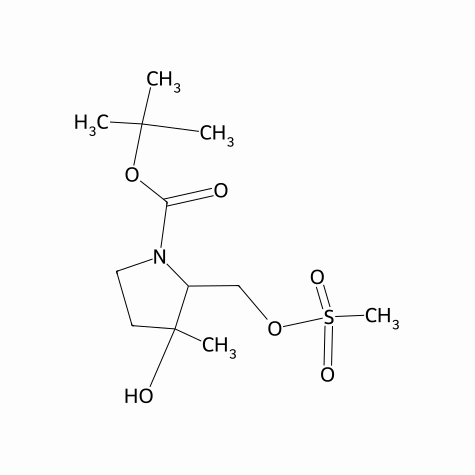 CC(C)(C)OC(=O)N1CCC(C)(O)C1COS(C)(=O)=O